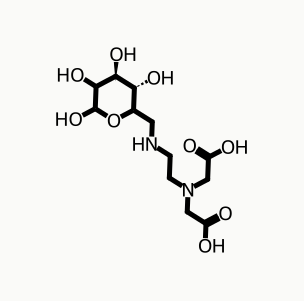 O=C(O)CN(CCNCC1OC(O)C(O)[C@@H](O)[C@@H]1O)CC(=O)O